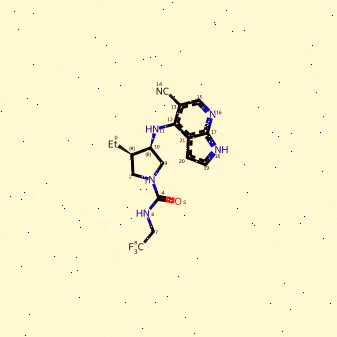 CC[C@@H]1CN(C(=O)NCC(F)(F)F)C[C@@H]1Nc1c(C#N)cnc2[nH]ccc12